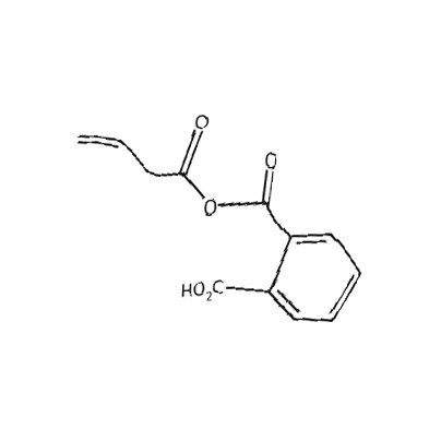 C=CCC(=O)OC(=O)c1ccccc1C(=O)O